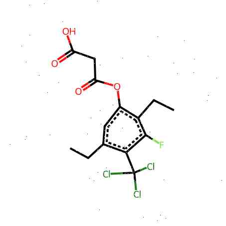 CCc1cc(OC(=O)CC(=O)O)c(CC)c(F)c1C(Cl)(Cl)Cl